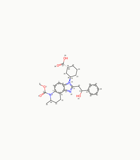 COC(=O)N1c2ccc3c(nc(CC(O)c4ccccc4)n3[C@@H]3CCC[C@@H](C(=O)O)C3)c2CCC1C